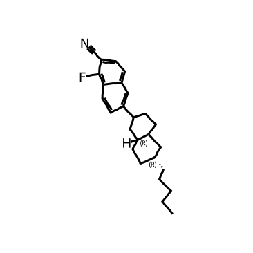 CCCCC[C@@H]1CC[C@@H]2CC(c3ccc4c(F)c(C#N)ccc4c3)CCC2C1